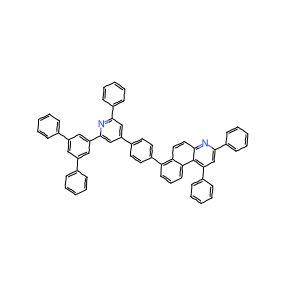 c1ccc(-c2cc(-c3ccccc3)cc(-c3cc(-c4ccc(-c5cccc6c5ccc5nc(-c7ccccc7)cc(-c7ccccc7)c56)cc4)cc(-c4ccccc4)n3)c2)cc1